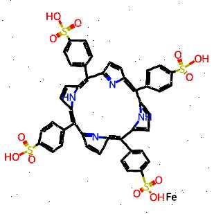 O=S(=O)(O)c1ccc(-c2c3nc(c(-c4ccc(S(=O)(=O)O)cc4)c4ccc([nH]4)c(-c4ccc(S(=O)(=O)O)cc4)c4nc(c(-c5ccc(S(=O)(=O)O)cc5)c5ccc2[nH]5)C=C4)C=C3)cc1.[Fe]